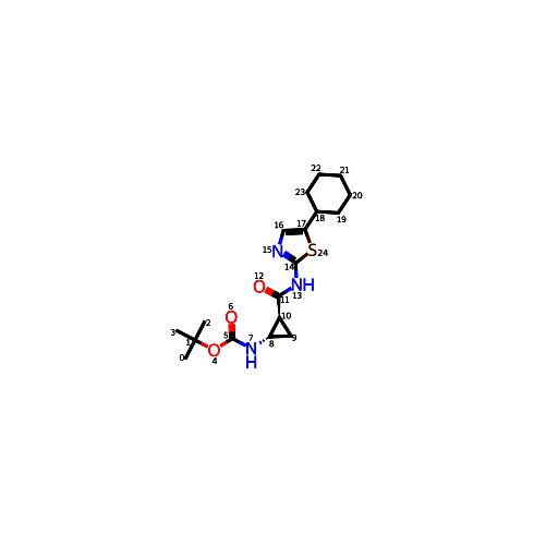 CC(C)(C)OC(=O)N[C@H]1C[C@@H]1C(=O)Nc1ncc(C2CCCCC2)s1